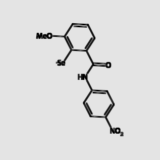 COc1cccc(C(=O)Nc2ccc([N+](=O)[O-])cc2)c1[Se]